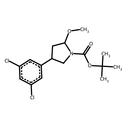 COC1CC(c2cc(Cl)cc(Cl)c2)CN1C(=O)OC(C)(C)C